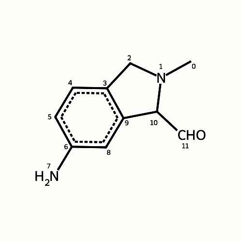 CN1Cc2ccc(N)cc2C1C=O